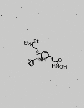 CCN(CC)CCSc1ccc(/C=C/C(=O)NO)cc1NCc1cccs1